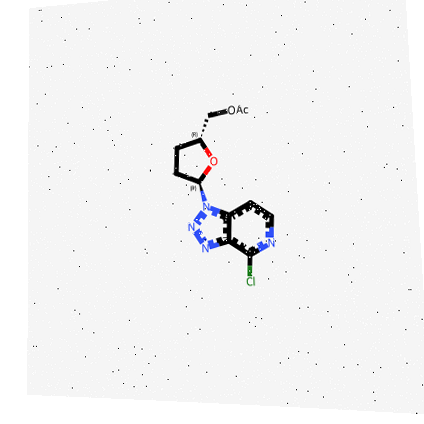 CC(=O)OC[C@H]1[CH][CH][C@H](n2nnc3c(Cl)nccc32)O1